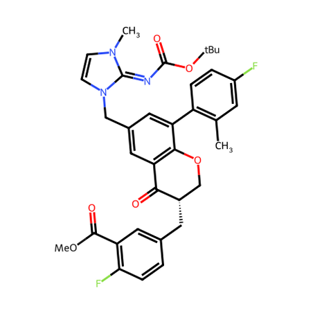 COC(=O)c1cc(C[C@H]2COc3c(cc(Cn4ccn(C)/c4=N\C(=O)OC(C)(C)C)cc3-c3ccc(F)cc3C)C2=O)ccc1F